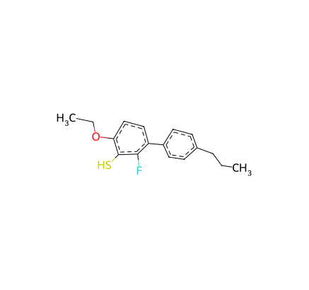 CCCc1ccc(-c2ccc(OCC)c(S)c2F)cc1